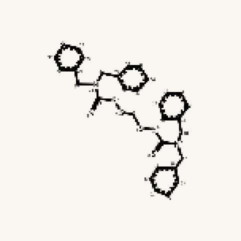 S=C(SSCSSC(=S)N(Cc1ccccc1)Cc1ccccc1)N(Cc1ccccc1)Cc1ccccc1